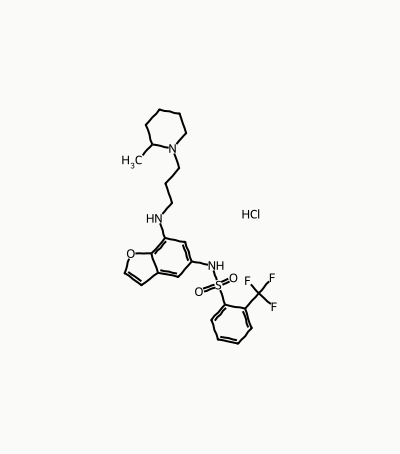 CC1CCCCN1CCCNc1cc(NS(=O)(=O)c2ccccc2C(F)(F)F)cc2ccoc12.Cl